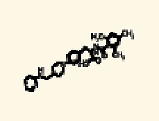 Cc1cc(C)c(C(=O)NC(Cc2ccc(N3CCC(CNc4ccccn4)CC3)cc2)C(=O)O)c(C)c1